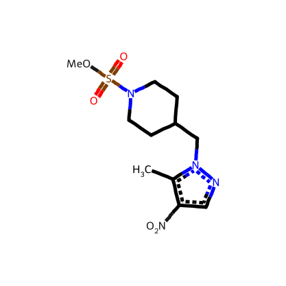 COS(=O)(=O)N1CCC(Cn2ncc([N+](=O)[O-])c2C)CC1